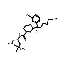 CNCC(CC(C)(C)OC)NC(=O)N1CCC[C@@H]([C@@](O)(CCCCOC)c2cccc(Cl)c2)C1